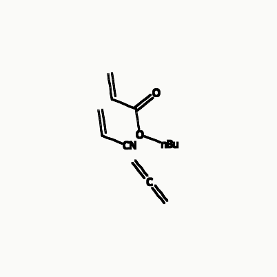 C=C=C.C=CC#N.C=CC(=O)OCCCC